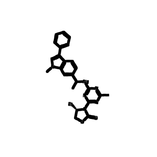 CC[C@H]1COC(=O)N1c1nc(C)nc(NC(C)c2ccc3c(-c4ccccc4)cn(C)c3c2)n1